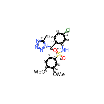 COc1ccc(S(=O)(=O)Nc2cc(Cl)ccc2Cn2nnnc2C)cc1OC